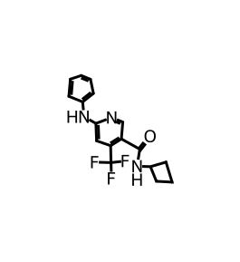 O=C(NC1CCC1)c1cnc(Nc2ccccc2)cc1C(F)(F)F